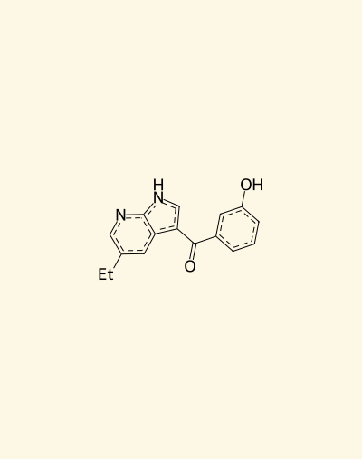 CCc1cnc2[nH]cc(C(=O)c3cccc(O)c3)c2c1